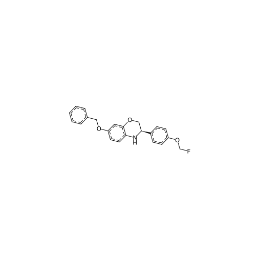 FCOc1ccc([C@@H]2COc3cc(OCc4ccccc4)ccc3N2)cc1